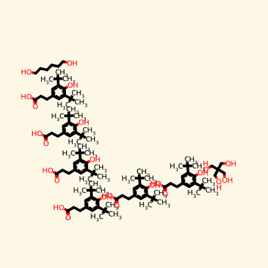 CC(C)(C)c1cc(CCC(=O)O)cc(C(C)(C)C)c1O.CC(C)(C)c1cc(CCC(=O)O)cc(C(C)(C)C)c1O.CC(C)(C)c1cc(CCC(=O)O)cc(C(C)(C)C)c1O.CC(C)(C)c1cc(CCC(=O)O)cc(C(C)(C)C)c1O.CC(C)(C)c1cc(CCC(=O)O)cc(C(C)(C)C)c1O.CC(C)(C)c1cc(CCC(=O)O)cc(C(C)(C)C)c1O.OCC(CO)(CO)CO.OCCCCCCO